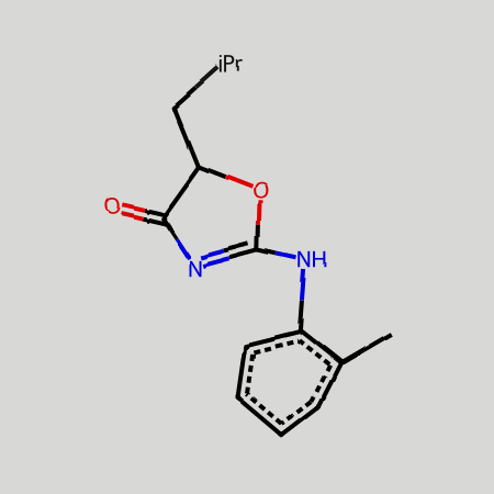 Cc1ccccc1NC1=NC(=O)C(CC(C)C)O1